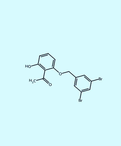 CC(=O)c1c(O)cccc1OCc1cc(Br)cc(Br)c1